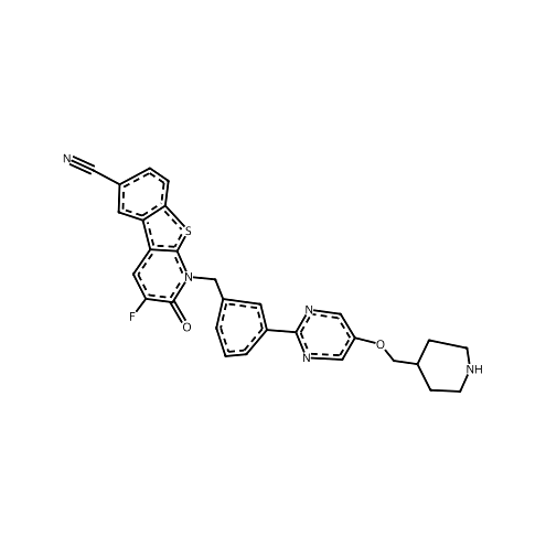 N#Cc1ccc2sc3c(cc(F)c(=O)n3Cc3cccc(-c4ncc(OCC5CCNCC5)cn4)c3)c2c1